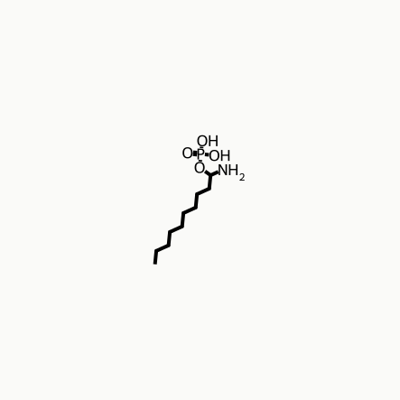 CCCCCCCCCC(N)OP(=O)(O)O